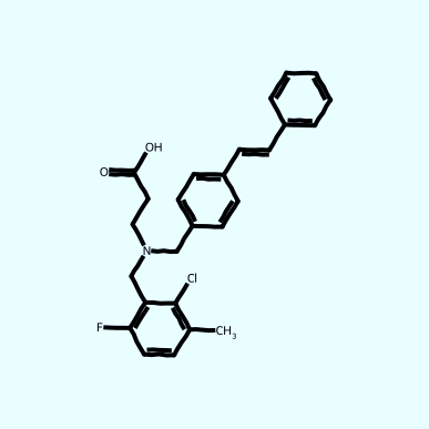 Cc1ccc(F)c(CN(CCC(=O)O)Cc2ccc(/C=C/c3ccccc3)cc2)c1Cl